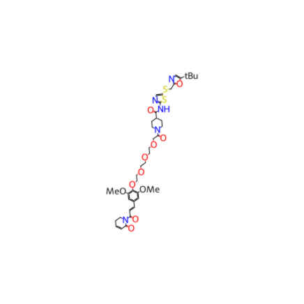 COc1cc(/C=C/C(=O)N2CCC=CC2=O)cc(OC)c1OCCOCCOCCOCC(=O)N1CCC(C(=O)Nc2ncc(SCc3ncc(C(C)(C)C)o3)s2)CC1